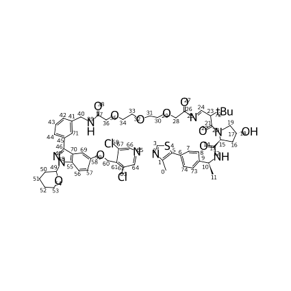 Cc1ncsc1-c1ccc([C@H](C)NC(=O)[C@@H]2C[C@@H](O)CN2C(=O)C(/C=N/C(=O)COCCOCCOCC(=O)NCc2cccc(-c3nn(C4CCCCO4)c4ccc(OCc5c(Cl)cncc5Cl)cc34)c2)C(C)(C)C)cc1